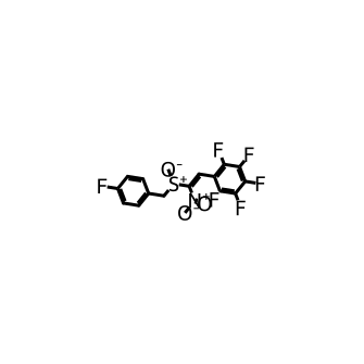 O=[N+]([O-])C(=Cc1c(F)c(F)c(F)c(F)c1F)[S+]([O-])Cc1ccc(F)cc1